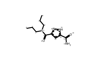 CCCN(CCC)C(=O)c1cc(C(N)=O)[nH]n1